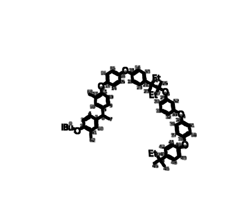 CCC(C)Oc1ccc(C(C)c2ccc(Oc3ccc(Oc4ccc(C(C)(CC)C(C)(CC)Oc5cccc(Oc6ccc(Oc7ccc(C(C)(C)CC)cc7)cc6)c5)cc4)cc3)c(C)c2)cc1C